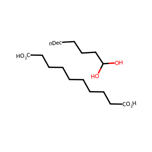 CCCCCCCCCCCCCC(O)O.O=C(O)CCCCCCCCC(=O)O